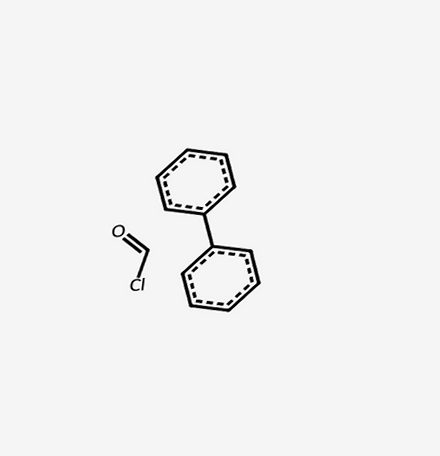 O=CCl.c1ccc(-c2ccccc2)cc1